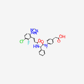 CN(C(=O)C(NC(=O)C=Cc1c(-n2ncnn2)ccc(Cl)c1F)c1ccccc1)c1ccc(CC(=O)O)cc1